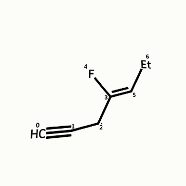 C#C[CH]C(F)=CCC